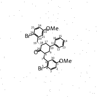 COc1ccc(Br)c(C[C@@H]2CC(c3ccccc3)C[C@@H](Cc3cc(OC)ccc3Br)C2=O)c1